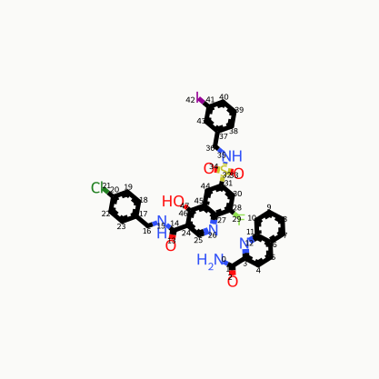 NC(=O)c1ccc2ccccc2n1.O=C(NCc1ccc(Cl)cc1)c1cnc2c(F)cc(S(=O)(=O)NCc3cccc(I)c3)cc2c1O